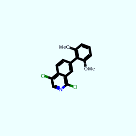 COc1cccc(OC)c1-c1ccc2c(Cl)cnc(Cl)c2c1